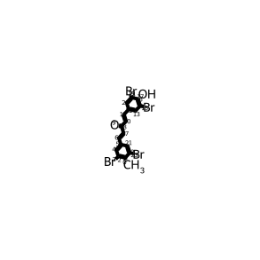 Cc1c(Br)cc(/C=C/C(=O)/C=C/c2cc(Br)c(O)c(Br)c2)cc1Br